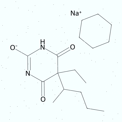 C1CCCCC1.CCCC(C)C1(CC)C(=O)N=C([O-])NC1=O.[Na+]